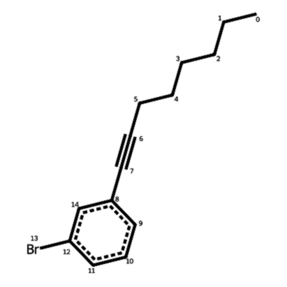 CCCCCCC#Cc1cccc(Br)c1